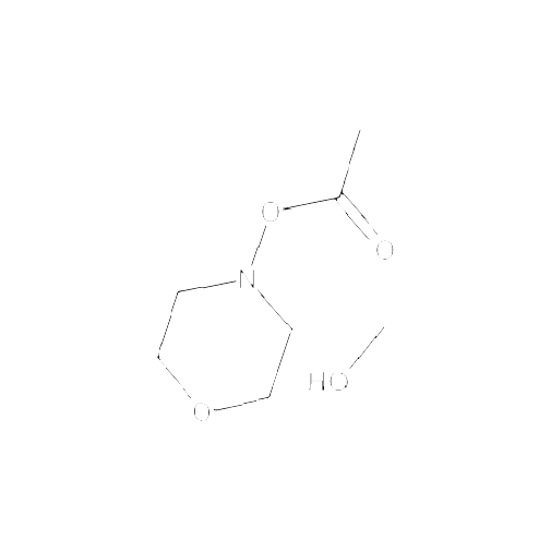 CC(=O)ON1CCOCC1.CO